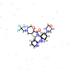 O=C(C1CCN(CC(F)(F)F)CCO1)N1Cc2cccnc2Nc2ccc(N3CCOCC3)cc21